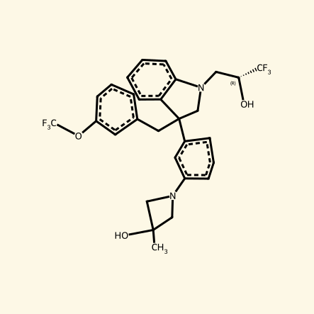 CC1(O)CN(c2cccc(C3(Cc4cccc(OC(F)(F)F)c4)CN(C[C@@H](O)C(F)(F)F)c4ccccc43)c2)C1